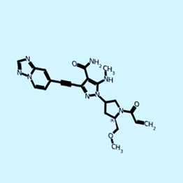 C=CC(=O)N1CC(n2nc(C#Cc3ccn4ncnc4c3)c(C(N)=O)c2NC)C[C@@H]1COC